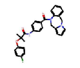 CC(C)(Oc1ccc(Cl)cc1)C(=O)Nc1ccc(C(=O)N2Cc3cccn3Cc3ccccc32)cc1